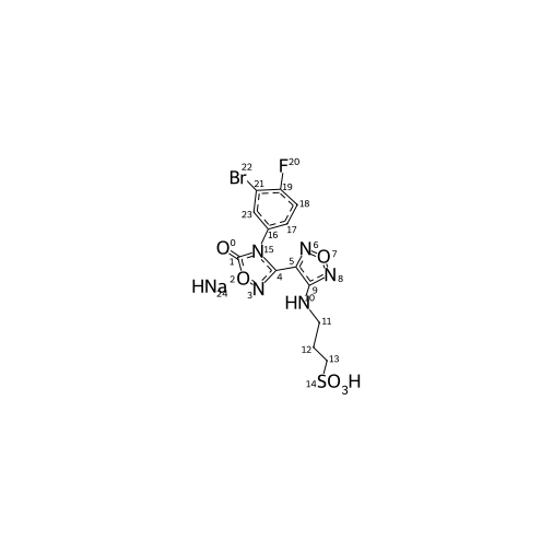 O=c1onc(-c2nonc2NCCCS(=O)(=O)O)n1-c1ccc(F)c(Br)c1.[NaH]